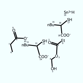 CCC(=O)OCO.CCC(=O)[O-].CCCCC(S)C(=O)[O-].CCCCC(S)C(=O)[O-].[SnH+3]